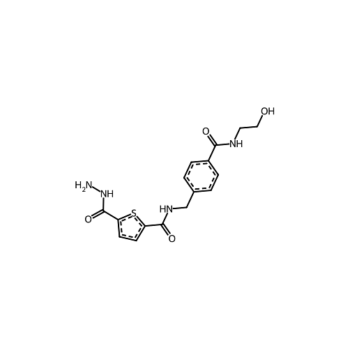 NNC(=O)c1ccc(C(=O)NCc2ccc(C(=O)NCCO)cc2)s1